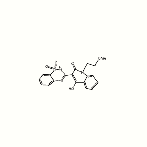 COCCn1c(=O)c(C2=Nc3ccccc3S(=O)(=O)N2)c(O)c2ccccc21